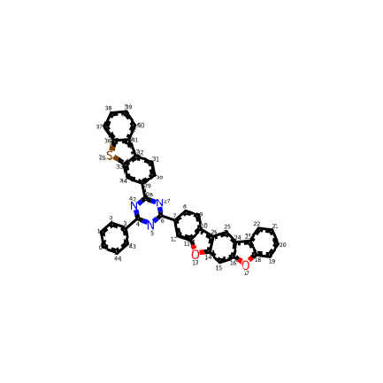 c1ccc(-c2nc(-c3ccc4c(c3)oc3cc5oc6ccccc6c5cc34)nc(-c3ccc4c(c3)sc3ccccc34)n2)cc1